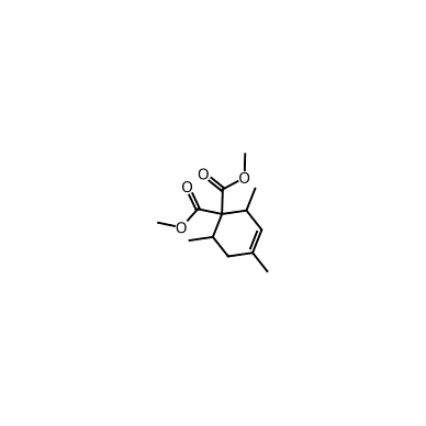 COC(=O)C1(C(=O)OC)C(C)C=C(C)CC1C